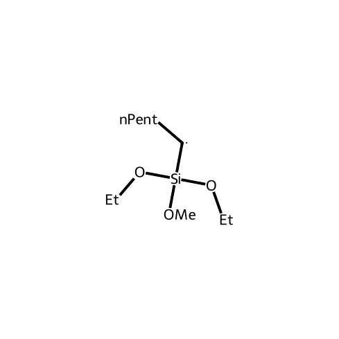 CCCCC[CH][Si](OC)(OCC)OCC